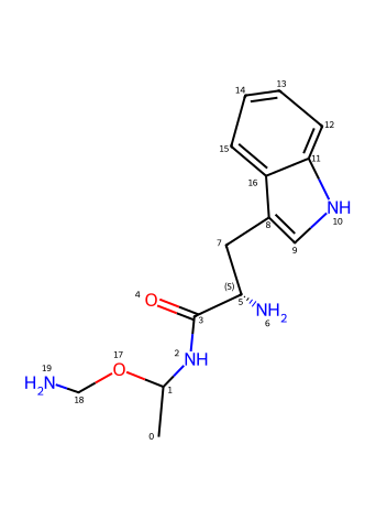 CC(NC(=O)[C@@H](N)Cc1c[nH]c2ccccc12)OCN